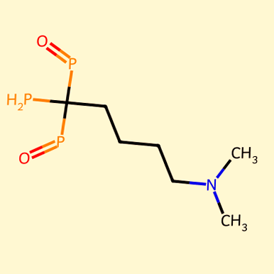 CN(C)CCCCC(P)(P=O)P=O